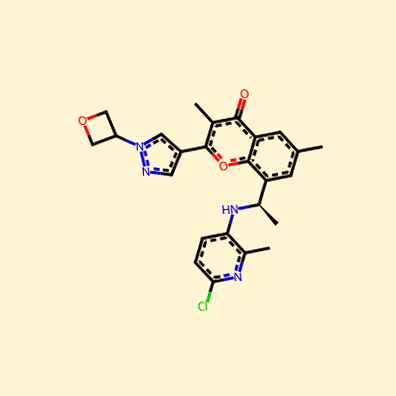 Cc1cc([C@@H](C)Nc2ccc(Cl)nc2C)c2oc(-c3cnn(C4COC4)c3)c(C)c(=O)c2c1